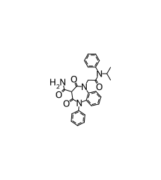 CC(C)N(C(=O)CN1C(=O)C(C(N)=O)C(=O)N(c2ccccc2)c2ccccc21)c1ccccc1